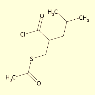 CC(=O)SCC(CC(C)C)C(=O)Cl